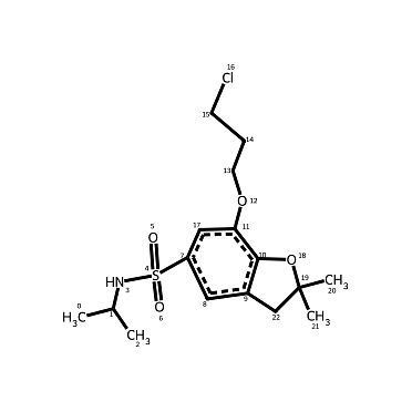 CC(C)NS(=O)(=O)c1cc2c(c(OCCCCl)c1)OC(C)(C)C2